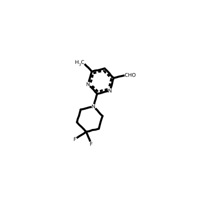 Cc1cc(C=O)nc(N2CCC(F)(F)CC2)n1